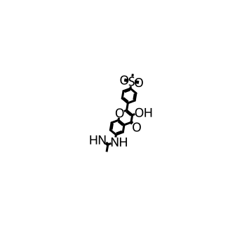 CC(=N)Nc1ccc2oc(-c3ccc(S(C)(=O)=O)cc3)c(O)c(=O)c2c1